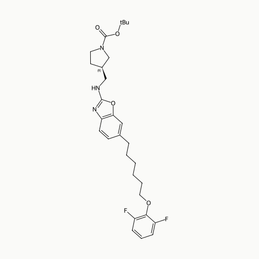 CC(C)(C)OC(=O)N1CC[C@H](CNc2nc3ccc(CCCCCCOc4c(F)cccc4F)cc3o2)C1